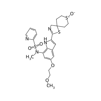 COCCOc1cc(N(C)S(=O)(=O)c2ccccn2)c2[nH]c(C3=NCC4(CC[S+]([O-])CC4)S3)cc2c1